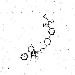 CC(C(=O)NCCCN1CCC(c2cccc(NC(=O)C3CC3)c2)CC1)(c1ccccc1)c1ccccc1